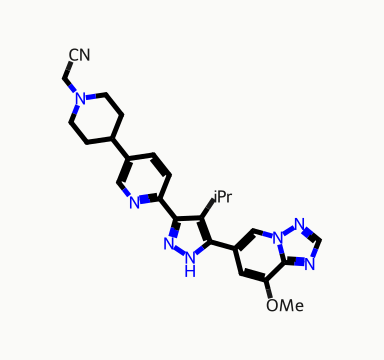 COc1cc(-c2[nH]nc(-c3ccc(C4CCN(CC#N)CC4)cn3)c2C(C)C)cn2ncnc12